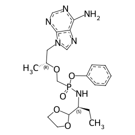 CC[C@H](NP(=O)(CO[C@H](C)Cn1cnc2c(N)ncnc21)Oc1ccccc1)C1OCCO1